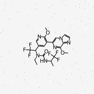 CCN(C(=O)NC(C)C(F)(F)F)C(c1cnc(OC)c(-c2cn3ccnc3c(OC)n2)c1)C(F)(F)F